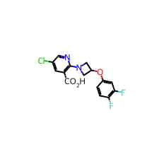 O=C(O)c1cc(Cl)cnc1N1CC(Oc2ccc(F)c(F)c2)C1